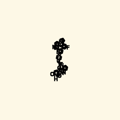 O=C1CCC(n2nnc3cccc(N4CC(CN5CCN(c6cccc(-c7cnc8ccc(N9CCCC9c9cccc(F)c9)nn78)n6)CC5)C4)c3c2=O)C(=O)N1